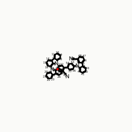 N#Cc1ccc(-n2c3ccccc3c3cccc(-n4c5ccccc5c5ccccc54)c32)cc1-c1ccc(-n2c3ccccc3c3cccc(C#N)c32)cc1